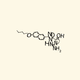 CCCCCOc1ccc2cc(-c3noc(C4[C@@H](O)CCN4C(=N)N)n3)ccc2c1